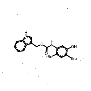 CC(C)(C)c1cc(C(C)(C)C)c(NC(=O)OCc2c[nH]c3ccccc23)cc1O